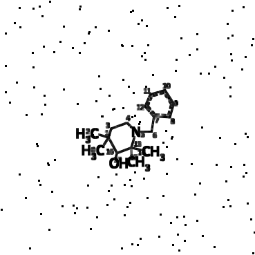 CC1(C)CCN(Cc2ccccc2)C(C)(C)C1O